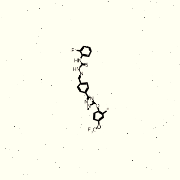 CC(C)c1ccccc1NC(=S)NN=Cc1ccc(-c2nc(Oc3ccc(OC(F)(F)F)cc3F)n(C)n2)cc1